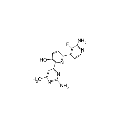 Cc1cc(-c2nc(-c3ccnc(N)c3F)ccc2O)nc(N)n1